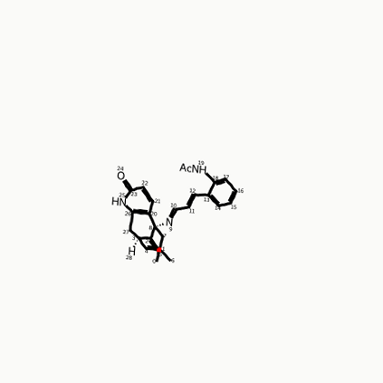 C/C=C1\[C@H]2C=C(C)C[C@]1(N=CC=Cc1ccccc1NC(C)=O)c1ccc(=O)[nH]c1C2